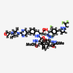 COC(=O)NC(C(=O)N[C@@H](Cc1ccc(-c2cnc(N3C[C@H]4C[C@@H]3CN4C3COC3)nc2)cc1)[C@@H](O)CN(Cc1c(F)cc(-c2ccn(CC(F)F)n2)cc1F)NC(=O)[C@@H](NC(=O)OC)C(C)(C)C(F)(F)F)C(C)(C)C(F)(F)F